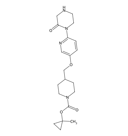 CC1(OC(=O)N2CCC(COc3ccc(N4CCNCC4=O)nc3)CC2)CC1